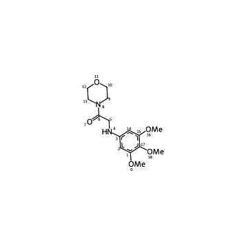 COc1cc(NCC(=O)N2CCOCC2)cc(OC)c1OC